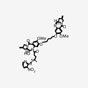 C=C1C[C@H]2C=Nc3cc(OCCCCCOc4cc5c(cc4OC)C(=O)N4CC(=C)C[C@H]4[C@H](O)N5C(=O)CC[C@@H](C)SSc4ncccc4[N+](=O)[O-])c(OC)cc3C(=O)N2C1